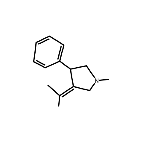 CC(C)=C1CN(C)CC1c1ccccc1